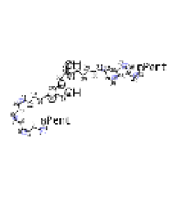 CCCCC/C=C\C/C=C\C/C=C\C/C=C\CCCCOC(CO)COCC(CO)OCCCC/C=C\C/C=C\C/C=C\C/C=C\CCCCC